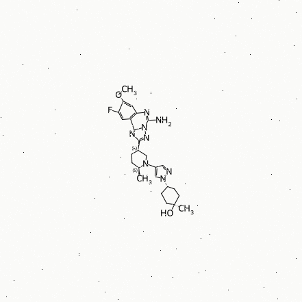 COc1cc2nc(N)n3nc([C@@H]4CC[C@H](C)N(c5cnn([C@H]6CC[C@](C)(O)CC6)c5)C4)nc3c2cc1F